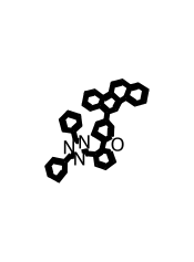 c1ccc(-c2nc(-c3ccccc3)nc(-c3cccc4oc5cc(-c6cc7c8ccccc8ccc7c7ccccc67)ccc5c34)n2)cc1